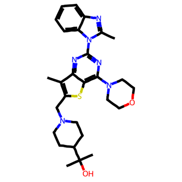 Cc1c(CN2CCC(C(C)(C)O)CC2)sc2c(N3CCOCC3)nc(-n3c(C)nc4ccccc43)nc12